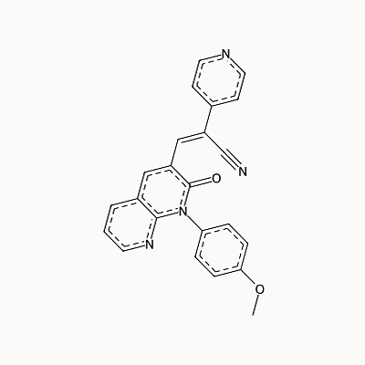 COc1ccc(-n2c(=O)c(C=C(C#N)c3ccncc3)cc3cccnc32)cc1